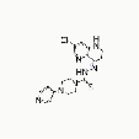 S=C(N/N=C1/CCNc2cc(Cl)cnc21)N1CCN(c2ccncc2)CC1